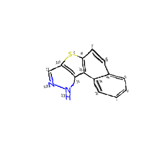 c1ccc2c(c1)ccc1sc3cn[nH]c3c12